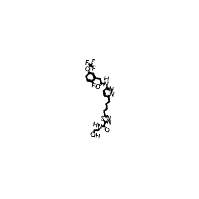 O=C(CC1=CC(OC(F)(F)F)CC=C1F)Nc1ccc(CCCCc2nnc(C(=O)NCCO)s2)nn1